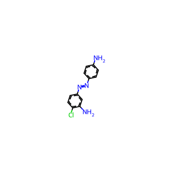 Nc1ccc(/N=N/c2ccc(Cl)c(N)c2)cc1